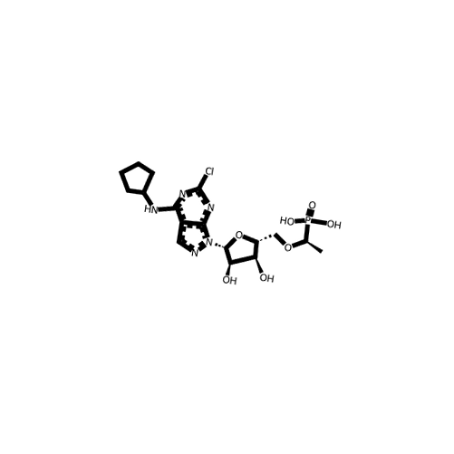 C[C@@H](OC[C@H]1O[C@@H](n2ncc3c(NC4CCCC4)nc(Cl)nc32)[C@H](O)[C@@H]1O)P(=O)(O)O